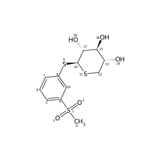 CS(=O)(=O)c1cccc(S[C@@H]2SC[C@@H](O)[C@H](O)[C@H]2O)c1